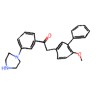 COc1ccc(CC(=O)c2cccc(N3CCNCC3)c2)cc1-c1ccccc1